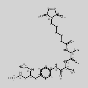 CC(C)[C@H](NC(=O)CCCCCN1C(=O)C=CC1=O)C(=O)N[C@@H](C)C(=O)Nc1ccc(CC(CNC(=O)O)NC(=O)O)cc1